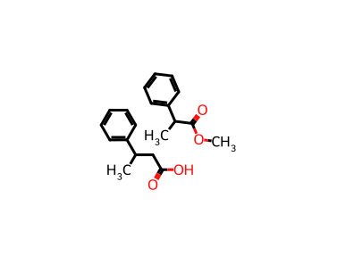 CC(CC(=O)O)c1ccccc1.COC(=O)C(C)c1ccccc1